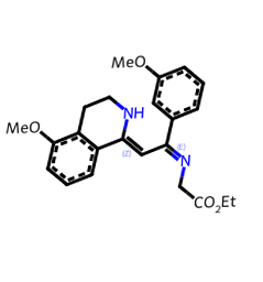 CCOC(=O)C/N=C(\C=C1/NCCc2c(OC)cccc21)c1cccc(OC)c1